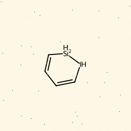 C1=C[SiH2][IH]C=C1